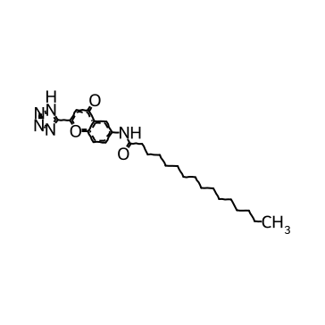 CCCCCCCCCCCCCCCC(=O)Nc1ccc2oc(-c3nnn[nH]3)cc(=O)c2c1